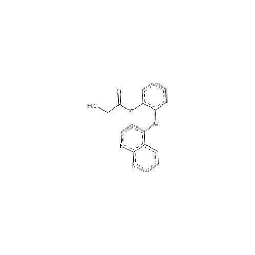 CCC(=O)Oc1ccccc1Oc1ccnc2ncccc12